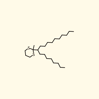 CCCCCCCCCCC(CCCCCCCC)C1(C)SCCCS1